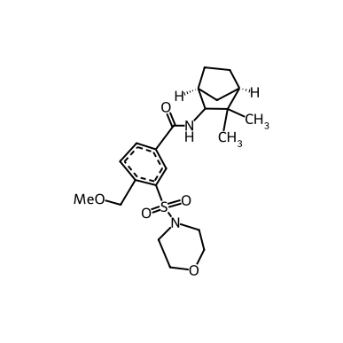 COCc1ccc(C(=O)NC2[C@H]3CC[C@H](C3)C2(C)C)cc1S(=O)(=O)N1CCOCC1